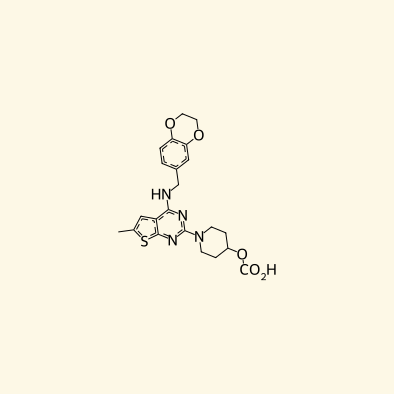 Cc1cc2c(NCc3ccc4c(c3)OCCO4)nc(N3CCC(OC(=O)O)CC3)nc2s1